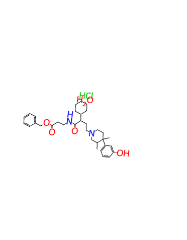 CC1CN(CCC(C(=O)NCCC(=O)OCc2ccccc2)C2CCCCC2)CCC1(C)c1cccc(O)c1.Cl.O